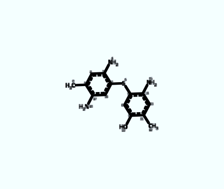 Cc1cc(N)c(Sc2cc(O)c(C)cc2N)cc1N